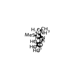 C=C(C)Nc1nc(SC)nc2c1ncn2[C@@H]1O[C@H](CO)[C@@H](O)[C@H]1O